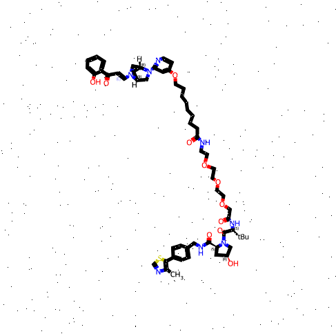 Cc1ncsc1-c1ccc(CNC(=O)[C@@H]2C[C@@H](O)CN2C(=O)[C@@H](NC(=O)COCCOCCOCCNC(=O)CCCCCCCCOc2ccnc(N3C[C@H]4C[C@@H]3CN4/C=C/C(=O)c3ccccc3O)c2)C(C)(C)C)cc1